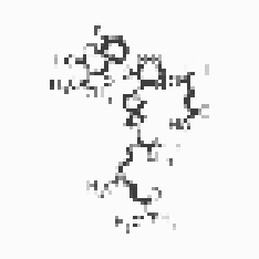 CC(C)[C@H](CCCN(C)CCC(=O)N(C)C)N1CC2(CCN(c3ncnnc3Oc3ccc(F)cc3C(=O)N(C(C)C)C(C)C)C2)C1.O=C(O)/C=C/C(=O)O